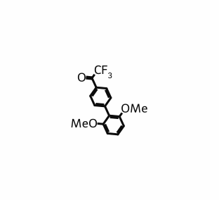 COc1cccc(OC)c1-c1ccc(C(=O)C(F)(F)F)cc1